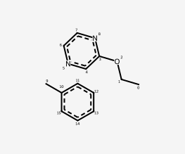 CCOc1cnccn1.Cc1ccccc1